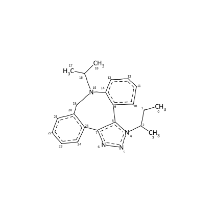 CCC(C)n1nnc2c1-c1ccccc1N(C(C)C)Cc1ccccc1-2